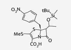 CSC1=C(C(=O)O)N2C(=O)C(C(C)O[Si](C)(C)C(C)(C)C)[C@@]2(Cc2ccc([N+](=O)[O-])cc2)S1